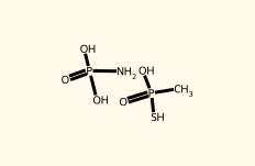 CP(=O)(O)S.NP(=O)(O)O